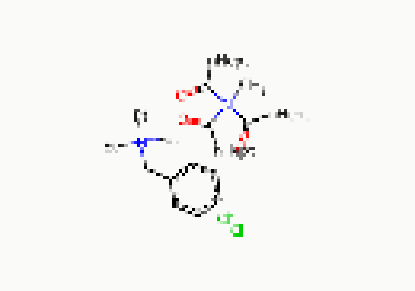 CCCCCCCC(=O)[N+](C)(C(=O)CCCCCCC)C(=O)CCCCCCC.CC[N+](CC)(CC)Cc1ccccc1.[Cl-].[Cl-]